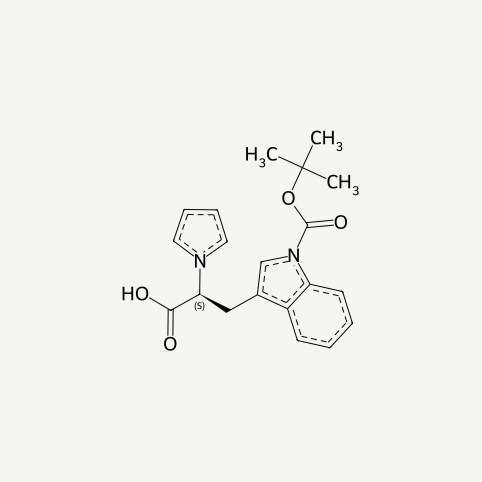 CC(C)(C)OC(=O)n1cc(C[C@@H](C(=O)O)n2cccc2)c2ccccc21